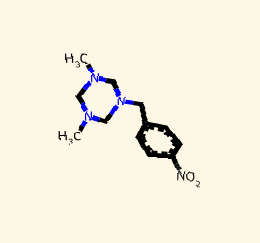 CN1CN(C)CN(Cc2ccc([N+](=O)[O-])cc2)C1